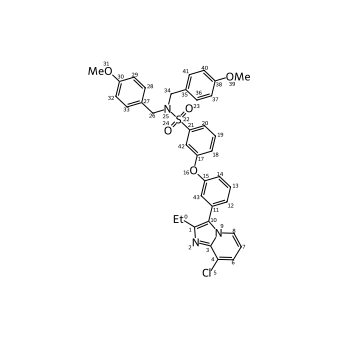 CCc1nc2c(Cl)cccn2c1-c1cccc(Oc2cccc(S(=O)(=O)N(Cc3ccc(OC)cc3)Cc3ccc(OC)cc3)c2)c1